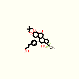 CC1(C)COC2(CCC3=C4C(CCC3(O)C2)C2CC[C@@](O)(C(F)(F)C(F)(F)F)[C@@]2(C)C[C@@H]4c2ccc(/C=C/CO)cc2)OC1